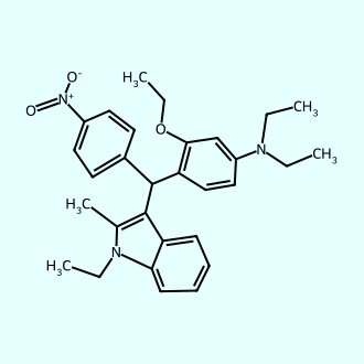 CCOc1cc(N(CC)CC)ccc1C(c1ccc([N+](=O)[O-])cc1)c1c(C)n(CC)c2ccccc12